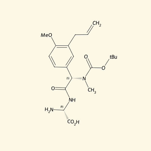 C=CCc1cc([C@@H](C(=O)N[C@@H](N)C(=O)O)N(C)C(=O)OC(C)(C)C)ccc1OC